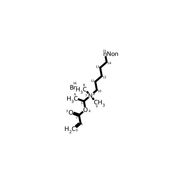 C=CC(=O)OC(C)[N+](C)(C)CCCCCCCCCCCCCC.[Br-]